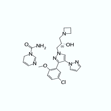 COc1ccc(Cl)cc1-c1nn(C[C@@H](O)CN2CCC2)cc1-n1cccn1.NC(=O)N1C=NC=CC1